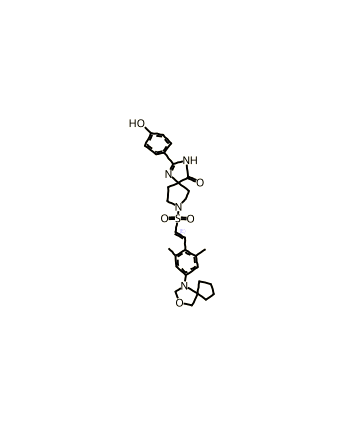 Cc1cc(N2COCC23CCCC3)cc(C)c1/C=C/S(=O)(=O)N1CCC2(CC1)N=C(c1ccc(O)cc1)NC2=O